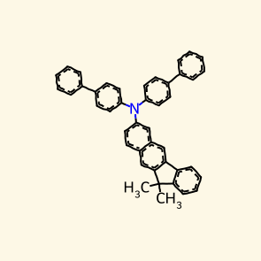 CC1(C)c2ccccc2-c2cc3cc(N(c4ccc(-c5ccccc5)cc4)c4ccc(-c5ccccc5)cc4)ccc3cc21